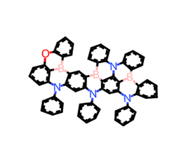 c1ccc(N2c3cc4c(cc3B3c5ccccc5Oc5cccc2c53)B2c3ccccc3N3c5ccccc5B5c6ccccc6N(c6ccccc6)c6cc(c2c3c65)N4c2ccccc2)cc1